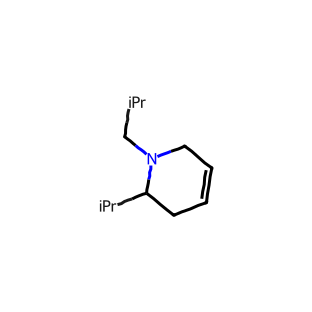 CC(C)CN1CC=CCC1C(C)C